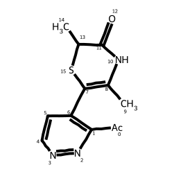 CC(=O)c1nnccc1C1=C(C)NC(=O)C(C)S1